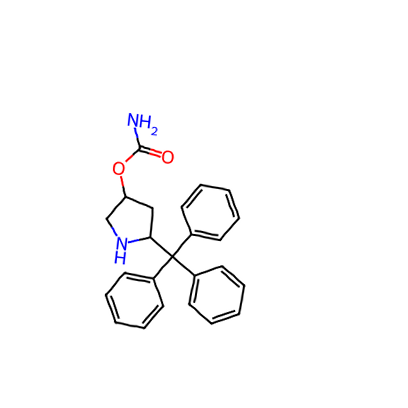 NC(=O)OC1CNC(C(c2ccccc2)(c2ccccc2)c2ccccc2)C1